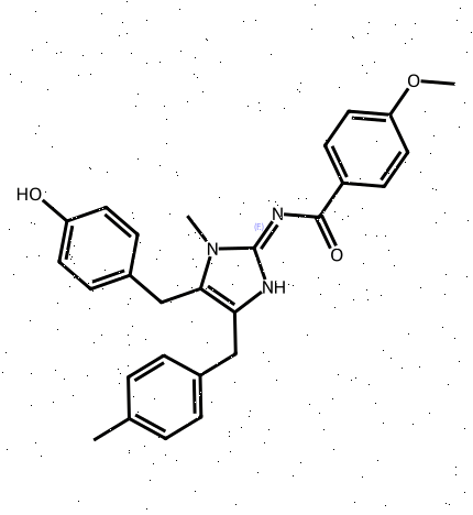 COc1ccc(C(=O)/N=c2\[nH]c(Cc3ccc(C)cc3)c(Cc3ccc(O)cc3)n2C)cc1